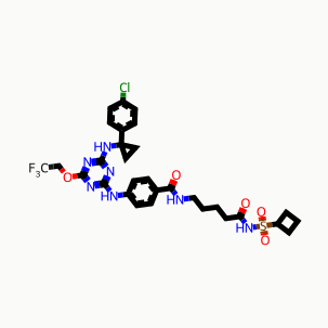 O=C(CCCCNC(=O)c1ccc(Nc2nc(NC3(c4ccc(Cl)cc4)CC3)nc(OCC(F)(F)F)n2)cc1)NS(=O)(=O)C1CCC1